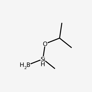 B[SiH](C)OC(C)C